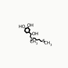 CSCCCCN(C)C[C@H](O)c1ccc(O)c(O)c1